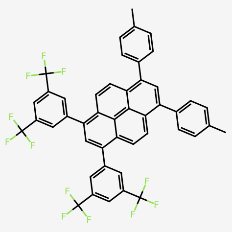 Cc1ccc(-c2cc(-c3ccc(C)cc3)c3ccc4c(-c5cc(C(F)(F)F)cc(C(F)(F)F)c5)cc(-c5cc(C(F)(F)F)cc(C(F)(F)F)c5)c5ccc2c3c54)cc1